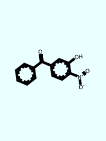 O=C(c1ccccc1)c1ccc([N+](=O)[O-])c(O)c1